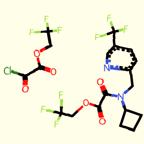 O=C(Cl)C(=O)OCC(F)(F)F.O=C(OCC(F)(F)F)C(=O)N(Cc1ccc(C(F)(F)F)cn1)C1CCC1